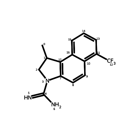 CC1CN(C(=N)N)c2ccc3c(C(F)(F)F)cccc3c21